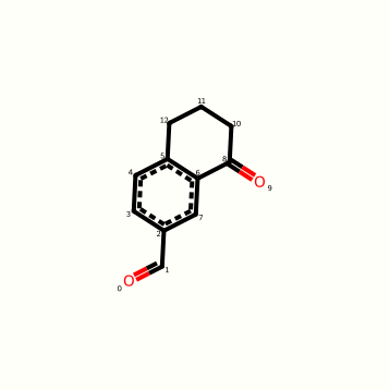 O=Cc1ccc2c(c1)C(=O)CCC2